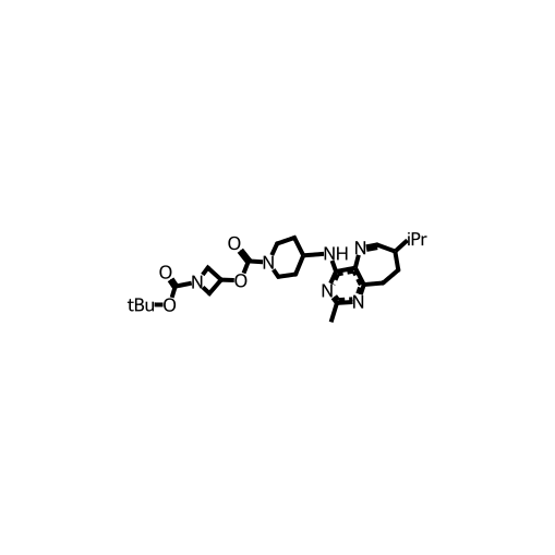 Cc1nc2c(c(NC3CCN(C(=O)OC4CN(C(=O)OC(C)(C)C)C4)CC3)n1)N=CC(C(C)C)CC2